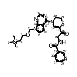 C[Si](C)(C)CCOCn1ccc2c(N3C=C(C(=O)CNC(=O)c4cccnc4)SCC3)ncnc21